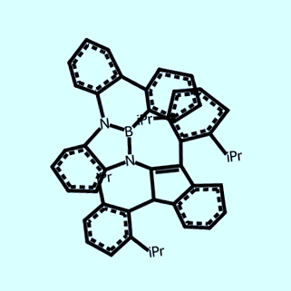 CC(C)c1cccc(C(C)C)c1C1=C(N2B3c4ccccc4-c4ccccc4N3c3ccccc32)C(c2c(C(C)C)cccc2C(C)C)c2ccccc21